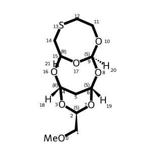 COC[C@H]1O[C@H]2C[C@@H](O1)O[C@@H]1OCCSC[C@H](O2)O1